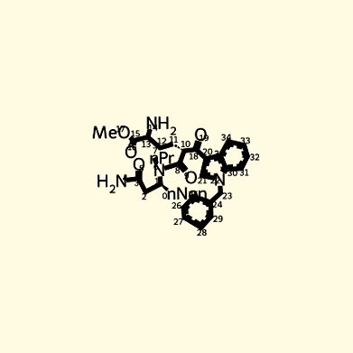 CCCCCCCCC[C@@H](CC(N)=O)N(CCC)C(=O)[C@H](CCC(N)C(=O)OC)C(=O)c1cn(Cc2ccccc2)c2ccccc12